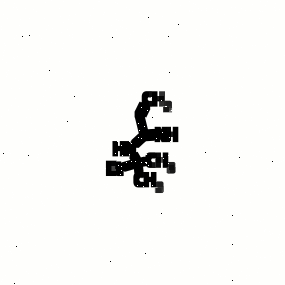 C=CC(=N)NC(C)(C)CC